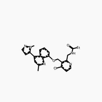 CCC(=O)NCc1nccc(Cl)c1COc1cccc2c(-c3ccnn3C)cc(C)nc12